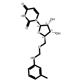 Cc1cccc(NCOC[C@H]2O[C@@H](n3ccc(=O)[nH]c3=O)[C@H](O)[C@@H]2O)c1